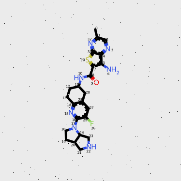 Cc1cnc2c(N)c(C(=O)NC3CCc4nc(N5CCC6CNCC65)c(F)cc4C3)sc2n1